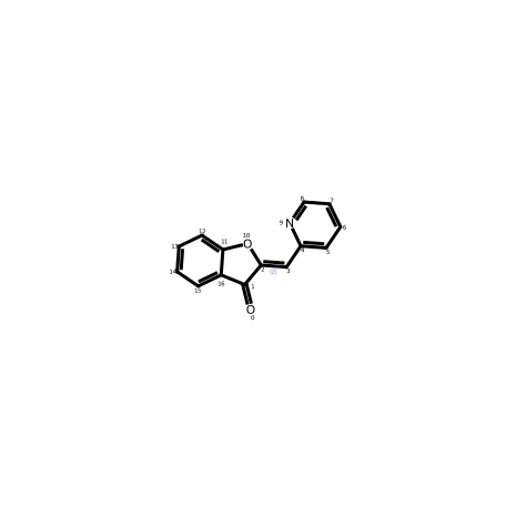 O=C1/C(=C/c2ccccn2)Oc2ccccc21